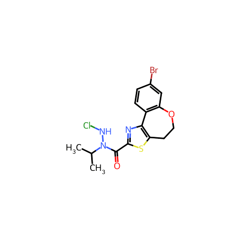 CC(C)N(NCl)C(=O)c1nc2c(s1)CCOc1cc(Br)ccc1-2